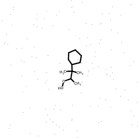 CC(OO)C(C)(C)C1CCCCC1